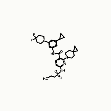 O=C(Nc1cc(C2CC2)cc(N2CCC(F)(F)CC2)c1)c1ccc(NS(=O)(=O)CCO)nc1N1CCC2(CC1)CC2